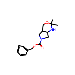 CC1(C)NC2CN(C(=O)OCc3ccccc3)CC2CO1